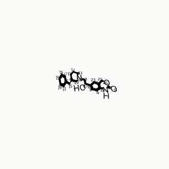 O=C1Nc2ccc(C(O)CN3CCC[C@H](Cc4ccccc4)C3)cc2CO1